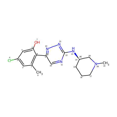 Cc1cc(Cl)cc(O)c1-c1cnc(N[C@@H]2CCCN(C)C2)nn1